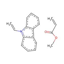 C=CC(=O)OC.C=Cn1c2ccccc2c2ccccc21